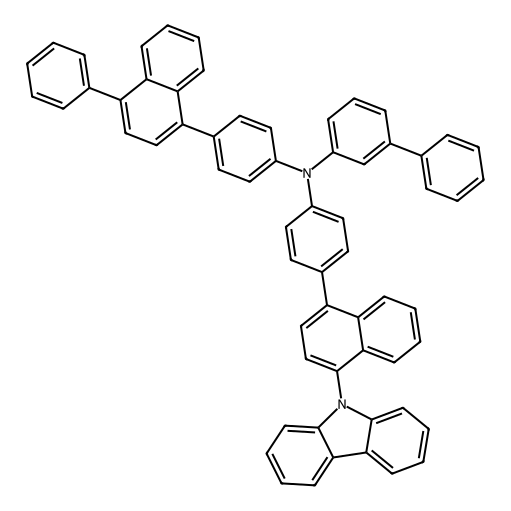 c1ccc(-c2cccc(N(c3ccc(-c4ccc(-c5ccccc5)c5ccccc45)cc3)c3ccc(-c4ccc(-n5c6ccccc6c6ccccc65)c5ccccc45)cc3)c2)cc1